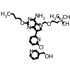 CCCCOc1nc(N)c2c(n1)c(-c1cccc(Cl)n1)cn2COCC[Si](C)(C)C.OCc1cccnc1